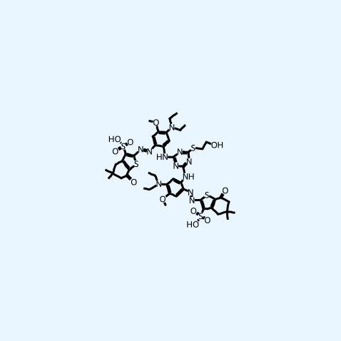 CCN(CC)c1cc(Nc2nc(Nc3cc(N(CC)CC)c(OC)cc3/N=N/c3sc4c(c3S(=O)(=O)O)CC(C)(C)CC4=O)nc(SCCO)n2)c(/N=N/c2sc3c(c2S(=O)(=O)O)CC(C)(C)CC3=O)cc1OC